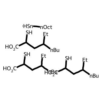 CCCCC(CC)CC(S)C(=O)O.CCCCC(CC)CC(S)C(=O)O.CCCCC(CC)CC(S)C(=O)O.CCCCCCC[CH2][SnH]